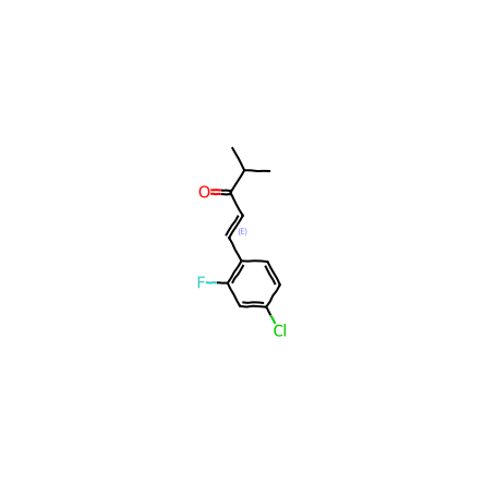 CC(C)C(=O)/C=C/c1ccc(Cl)cc1F